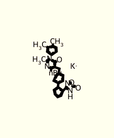 CCCCc1nc(C)n(-c2ccc(C)c(C)c2)c(=O)c1Cc1ccc(-c2ccccc2-c2noc(=O)[nH]2)cc1.[K]